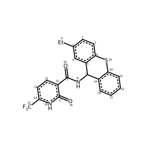 CCc1ccc2c(c1)C(NC(=O)c1ccc(C(F)(F)F)[nH]c1=O)c1ccccc1S2